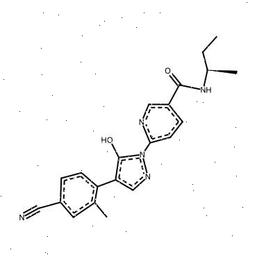 CC[C@@H](C)NC(=O)c1ccc(-n2ncc(-c3ccc(C#N)cc3C)c2O)nc1